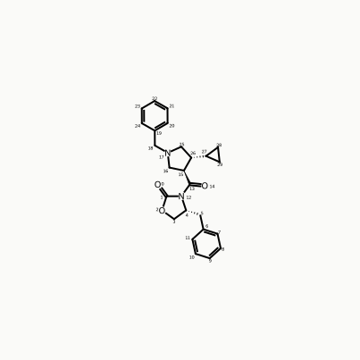 O=C1OC[C@@H](Cc2ccccc2)N1C(=O)[C@H]1CN(Cc2ccccc2)C[C@@H]1C1CC1